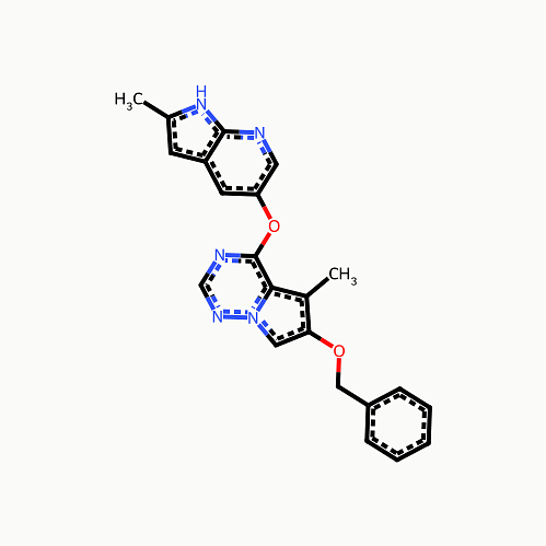 Cc1cc2cc(Oc3ncnn4cc(OCc5ccccc5)c(C)c34)cnc2[nH]1